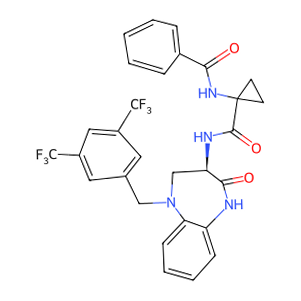 O=C(NC1(C(=O)N[C@@H]2CN(Cc3cc(C(F)(F)F)cc(C(F)(F)F)c3)c3ccccc3NC2=O)CC1)c1ccccc1